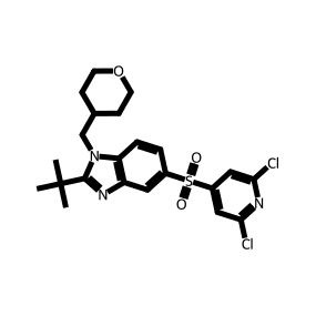 CC(C)(C)c1nc2cc(S(=O)(=O)c3cc(Cl)nc(Cl)c3)ccc2n1CC1CCOCC1